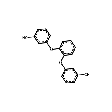 N#Cc1cccc(Oc2ccccc2Oc2cccc(C#N)c2)c1